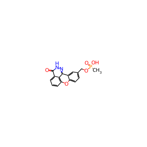 CP(=O)(O)OCc1ccc2c(c1)-c1n[nH]c(=O)c3cccc(c13)O2